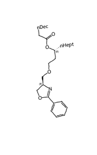 CCCCCCCCCCCC(=O)O[C@H](CCCCCCC)CCOC[C@@H]1COC(c2ccccc2)=N1